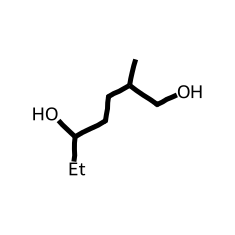 CCC(O)CCC(C)CO